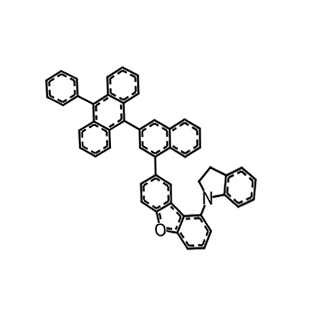 c1ccc(-c2c3ccccc3c(-c3cc(-c4ccc5oc6cccc(N7CCc8ccccc87)c6c5c4)c4ccccc4c3)c3ccccc23)cc1